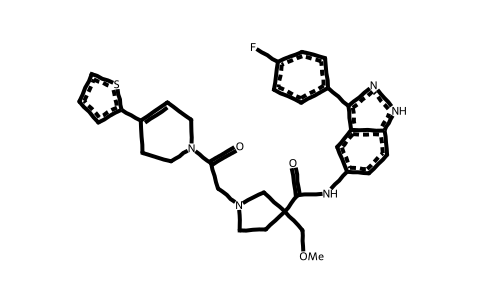 COCC1(C(=O)Nc2ccc3[nH]nc(-c4ccc(F)cc4)c3c2)CCN(CC(=O)N2CC=C(c3cccs3)CC2)C1